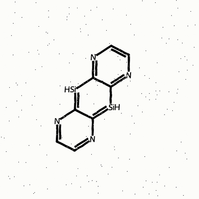 c1cnc2[siH]c3nccnc3[siH]c2n1